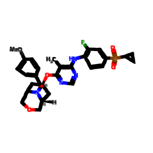 COc1ccc(CN2C3COC[C@H]2C[C@H](Oc2ncnc(Nc4ccc(S(=O)(=O)C5CC5)cc4F)c2C)C3)cc1